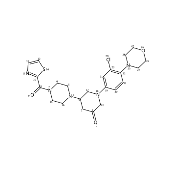 O=C1CC(N2CCN(C(=O)c3nccs3)CC2)CN(c2ccc(N3CCOCC3)c(Cl)c2)C1